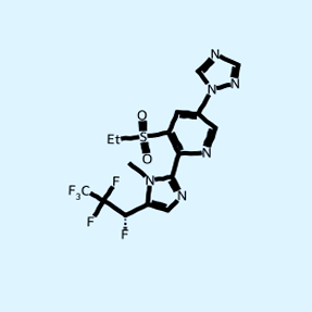 CCS(=O)(=O)c1cc(-n2cncn2)cnc1-c1ncc([C@H](F)C(F)(F)C(F)(F)F)n1C